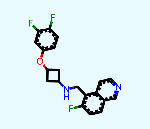 Fc1ccc(OC2CC(NCc3c(F)ccc4cnccc34)C2)cc1F